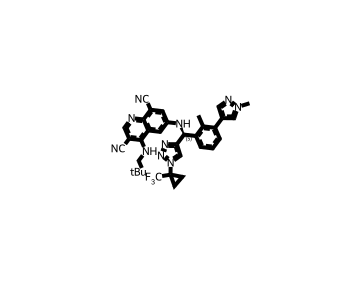 Cc1c(-c2cnn(C)c2)cccc1[C@H](Nc1cc(C#N)c2ncc(C#N)c(NCC(C)(C)C)c2c1)c1cn(C2(C(F)(F)F)CC2)nn1